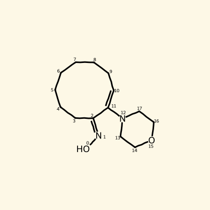 ON=C1CCCCCCCC=C1N1CCOCC1